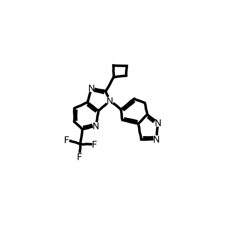 FC(F)(F)c1ccc2nc(C3CCC3)n(C3=CCC4=NN=CC4=C3)c2n1